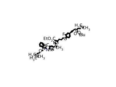 CCOC(=O)c1nc(N(C)c2cc(C)c(/N=c3\sc4ccccc4n3COCC[Si](C)(C)C)nn2)sc1CCCOc1ccc(C#CCN(CCN(C)C)C(=O)OC(C)(C)C)cc1F